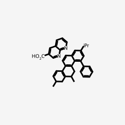 CC1C=CC2=C(C1)C(C)Cc1c2ccc2cc(C(C)C)cc(-c3ccccc3)c12.O=C(O)c1cnc2ncccc2c1